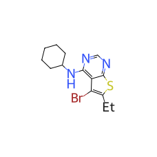 CCc1sc2ncnc(NC3CCCCC3)c2c1Br